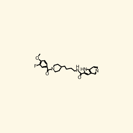 COc1ccc(C(=O)N2CCC(CCCCNC(=O)c3cc4cnccc4[nH]3)CC2)cc1F